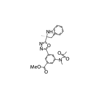 COC(=O)c1cc(-c2nnc([C@@](C)(N)Cc3ccccc3)o2)cc(N(C)S(C)(=O)=O)c1